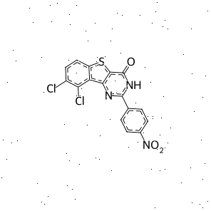 O=c1[nH]c(-c2ccc([N+](=O)[O-])cc2)nc2c1sc1ccc(Cl)c(Cl)c12